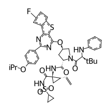 C=C[C@@H]1C[C@]1(NC(=O)[C@@H]1C[C@@H](Oc2nc(-c3ccc(OC(C)C)cc3)nc3c2sc2ccc(F)cc23)CN1C(=O)[C@@H](Nc1ccccc1)C(C)(C)C)C(=O)NS(=O)(=O)C1CC1